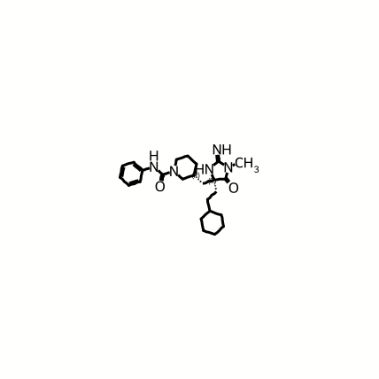 CN1C(=N)N[C@](CCC2CCCCC2)(C[C@H]2CCCN(C(=O)Nc3ccccc3)C2)C1=O